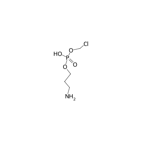 NCCCOP(=O)(O)OCCl